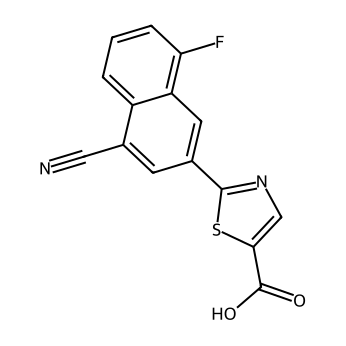 N#Cc1cc(-c2ncc(C(=O)O)s2)cc2c(F)cccc12